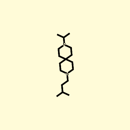 CC(C)CCN1CCC2(CC1)CCN(C(C)C)CC2